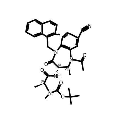 CC(=O)N1c2cc(C#N)ccc2N(Cc2c(C)ccc3ccccc23)C(=O)[C@@H](NC(=O)[C@H](C)N(C)C(=O)OC(C)(C)C)[C@@H]1C